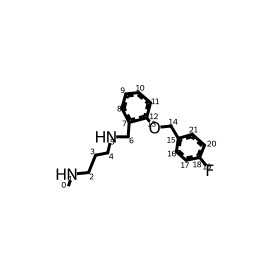 CNCCCNCc1ccccc1OCc1ccc(F)cc1